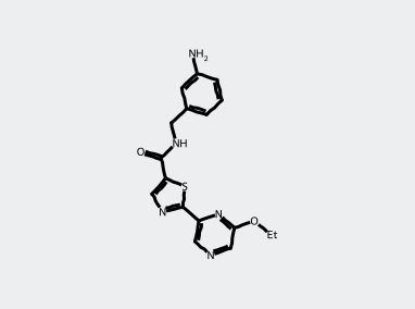 CCOc1cncc(-c2ncc(C(=O)NCc3cccc(N)c3)s2)n1